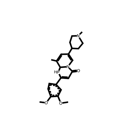 COc1ccc(C2=CC(=O)N3C=C(C4CCN(C)CC4)C=C(C)C3P2)cc1OC